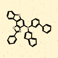 c1ccc(-c2cccc(N(c3ccc4ccccc4c3)c3cc4oc5ccccc5c4c4oc(-c5ccccc5)nc34)c2)cc1